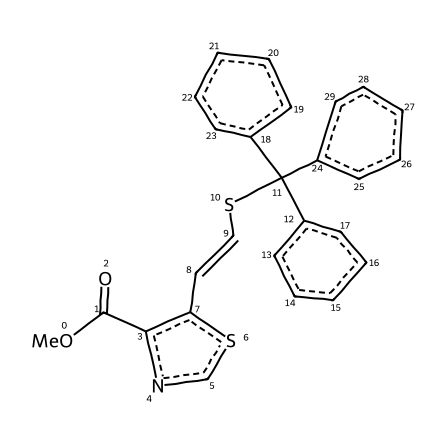 COC(=O)c1ncsc1/C=C/SC(c1ccccc1)(c1ccccc1)c1ccccc1